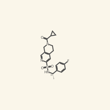 C[C@H](NS(=O)(=O)c1cc2c(cn1)CN(C(=O)C1CC1)CC2)c1ccc(F)cc1